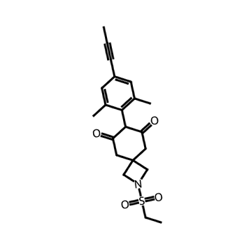 CC#Cc1cc(C)c(C2C(=O)CC3(CC2=O)CN(S(=O)(=O)CC)C3)c(C)c1